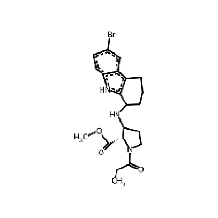 CCC(=O)N1CCC(NC2CCCc3c2[nH]c2ccc(Br)cc32)[C@H]1C(=O)OC